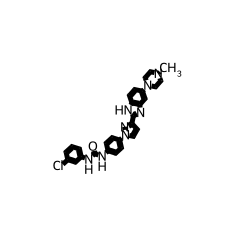 CN1CCN(c2ccc3[nH]c(-c4ccn(-c5ccc(NC(=O)Nc6cccc(Cl)c6)cc5)n4)nc3c2)CC1